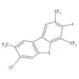 FC(F)(F)c1cc2c(cc1Cl)sc1c(C(F)(F)F)c(I)c(C(F)(F)F)cc12